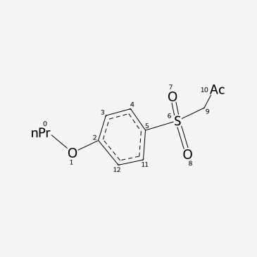 CCCOc1ccc(S(=O)(=O)CC(C)=O)cc1